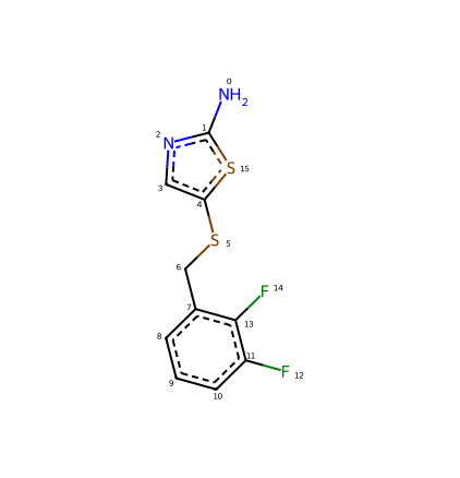 Nc1ncc(SCc2cccc(F)c2F)s1